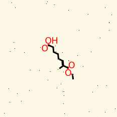 CCOC(=O)/C(C)=C/CCCCC(=O)O